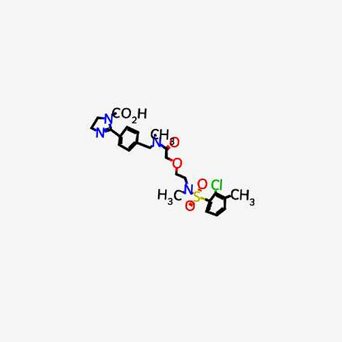 Cc1cccc(S(=O)(=O)N(C)CCOCC(=O)N(C)Cc2ccc(C3=NCCN3C(=O)O)cc2)c1Cl